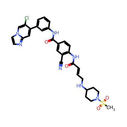 CS(=O)(=O)N1CCC(NC/C=C/C(=O)Nc2ccc(C(=O)Nc3cccc(-c4cc5nccn5cc4Cl)c3)cc2C#N)CC1